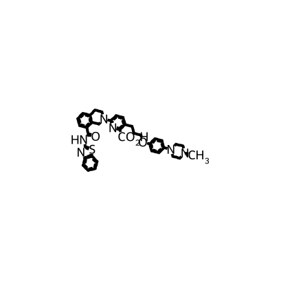 CN1CCN(c2ccc(OCCCc3ccc(N4CCc5cccc(C(=O)Nc6nc7ccccc7s6)c5C4)nc3C(=O)O)cc2)CC1